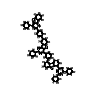 c1ccc(-c2nc(-c3ccccc3)nc(-c3cccc4c3sc3cccc(-c5cccc(-c6nc(-c7ccccc7)nc7c6oc6ccc(-c8ccc(-c9nc(-c%10ccccc%10)c%10oc%11ccccc%11c%10n9)cc8)cc67)c5)c34)n2)cc1